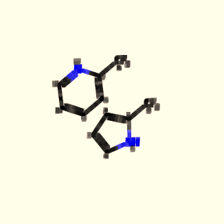 FC(F)(F)c1ccc[nH]1.FC(F)(F)c1ccccn1